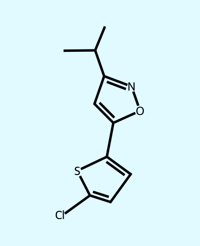 CC(C)c1cc(-c2ccc(Cl)s2)on1